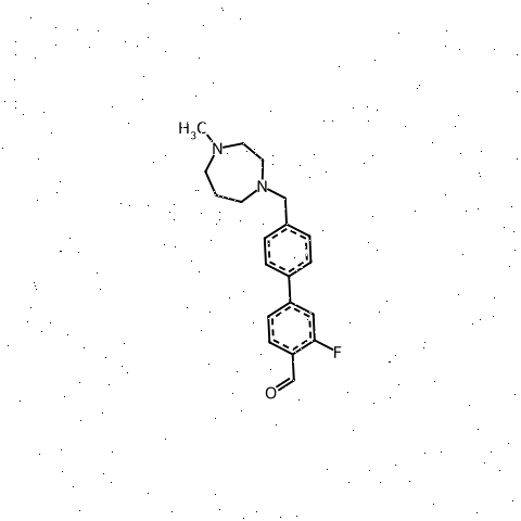 CN1CCCN(Cc2ccc(-c3ccc(C=O)c(F)c3)cc2)CC1